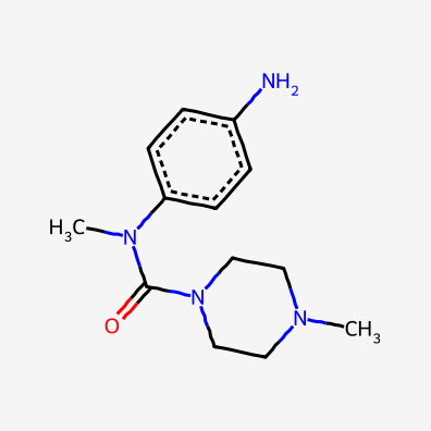 CN1CCN(C(=O)N(C)c2ccc(N)cc2)CC1